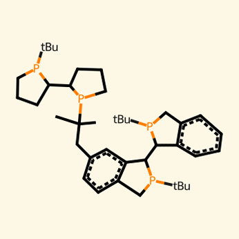 CC(C)(C)P1CCCC1C1CCCP1C(C)(C)Cc1ccc2c(c1)C(C1c3ccccc3CP1C(C)(C)C)P(C(C)(C)C)C2